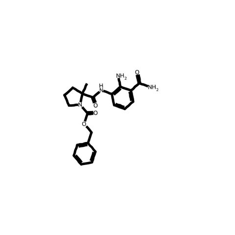 CC1(C(=O)Nc2cccc(C(N)=O)c2N)CCCN1C(=O)OCc1ccccc1